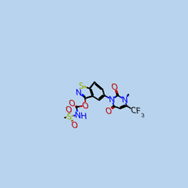 Cn1c(C(F)(F)F)cc(=O)n(-c2ccc3snc(OC(=O)NS(C)(=O)=O)c3c2)c1=O